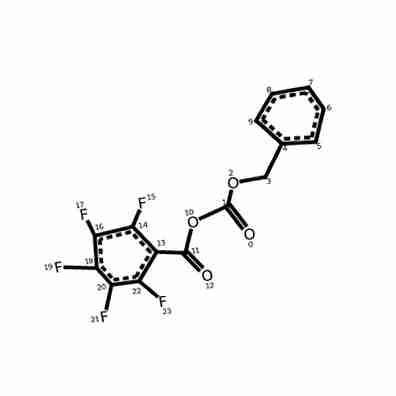 O=C(OCc1ccccc1)OC(=O)c1c(F)c(F)c(F)c(F)c1F